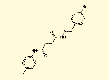 Cc1ccc(NC(=O)CCC(=O)N/N=C/c2ccc(Br)cc2)cc1